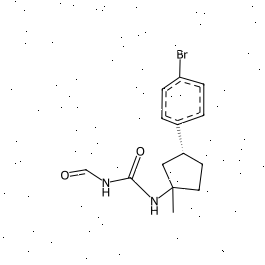 CC1(NC(=O)NC=O)CC[C@@H](c2ccc(Br)cc2)C1